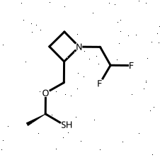 C[C@H](S)OCC1CCN1CC(F)F